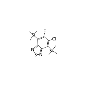 C[Si](C)(C)c1c(F)c(Cl)c([Si](C)(C)C)c2nsnc12